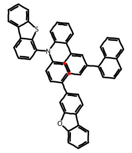 c1cc(-c2ccccc2N(c2ccc(-c3ccc4c(c3)oc3ccccc34)cc2)c2cccc3c2sc2ccccc23)cc(-c2cccc3ccccc23)c1